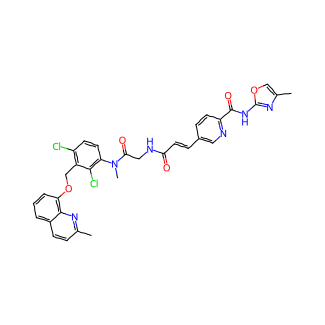 Cc1coc(NC(=O)c2ccc(C=CC(=O)NCC(=O)N(C)c3ccc(Cl)c(COc4cccc5ccc(C)nc45)c3Cl)cn2)n1